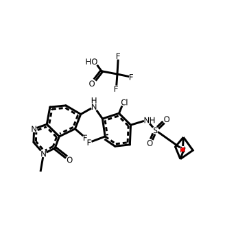 Cn1cnc2ccc(Nc3c(F)ccc(NS(=O)(=O)N4CC5CC4C5)c3Cl)c(F)c2c1=O.O=C(O)C(F)(F)F